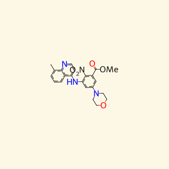 COC(=O)c1cc(N2CCOCC2)cc(Nc2ccnc3c(C)cccc23)c1[N+](=O)[O-]